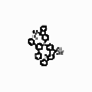 CC1(C)c2ccccc2-c2ccc(N(c3cc(-c4ccccc4)cc(-c4ccccc4)c3)c3ccc4c(c3)-c3c(ccc5c3oc3ccccc35)C4(C)C)cc21